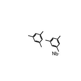 Cc1cc(C)cc(C)c1.Cc1cc(C)cc(C)c1.[Nb]